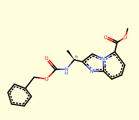 COC(=O)c1cccc2nc([C@H](C)NC(=O)OCc3ccccc3)cn12